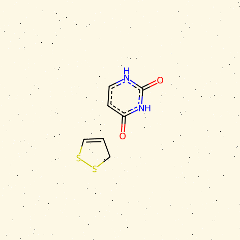 C1=CSSC1.O=c1cc[nH]c(=O)[nH]1